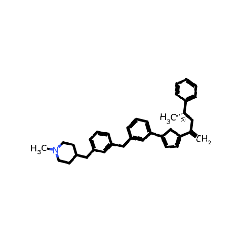 C=C(C[C@H](C)c1ccccc1)C1=CC=C(c2cccc(Cc3cccc(CC4CCN(C)CC4)c3)c2)C1